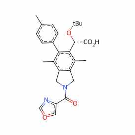 Cc1ccc(-c2c(C)c3c(c(C)c2[C@H](OC(C)(C)C)C(=O)O)CN(C(=O)c2cocn2)C3)cc1